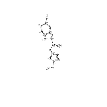 O[C@@H](Cn1nnc(CCl)n1)c1cc2cc(Cl)ccc2o1